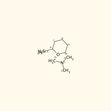 CN(C)C.[H+].[SiH3]C1CCCCO1